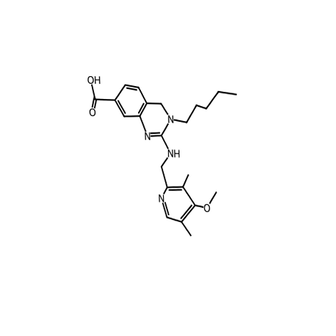 CCCCCN1Cc2ccc(C(=O)O)cc2N=C1NCc1ncc(C)c(OC)c1C